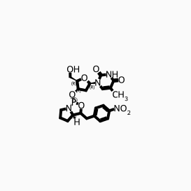 Cc1cn([C@H]2C[C@@H](O[P@@]3OC(Cc4ccc([N+](=O)[O-])cc4)[C@@H]4CCCN43)[C@@H](CO)O2)c(=O)[nH]c1=O